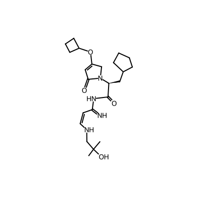 CC(C)(O)CN/C=C\C(=N)NC(=O)[C@H](CC1CCCC1)N1CC(OC2CCC2)=CC1=O